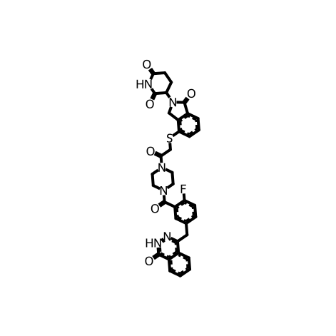 O=C1CCC(N2Cc3c(SCC(=O)N4CCN(C(=O)c5cc(Cc6n[nH]c(=O)c7ccccc67)ccc5F)CC4)cccc3C2=O)C(=O)N1